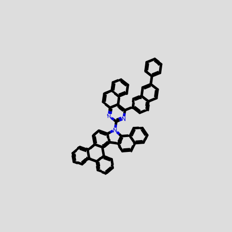 c1ccc(-c2ccc3ccc(-c4nc(-n5c6ccc7c8ccccc8c8ccccc8c7c6c6ccc7ccccc7c65)nc5ccc6ccccc6c45)cc3c2)cc1